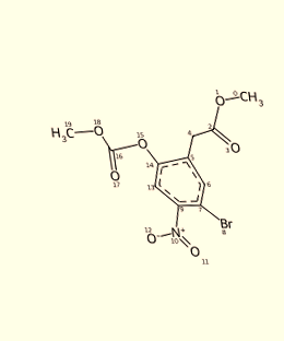 COC(=O)Cc1cc(Br)c([N+](=O)[O-])cc1OC(=O)OC